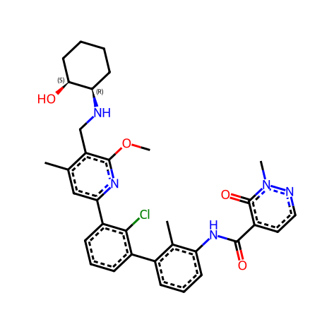 COc1nc(-c2cccc(-c3cccc(NC(=O)c4ccnn(C)c4=O)c3C)c2Cl)cc(C)c1CN[C@@H]1CCCC[C@@H]1O